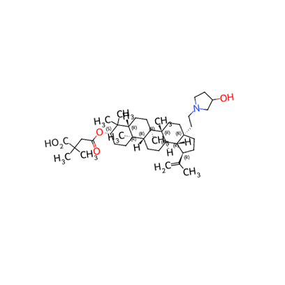 C=C(C)[C@@H]1CC[C@]2(CCN3CCC(O)C3)CC[C@]3(C)[C@H](CC[C@@H]4[C@@]5(C)CC[C@H](OC(=O)CC(C)(C)C(=O)O)C(C)(C)[C@@H]5CC[C@]43C)[C@@H]12